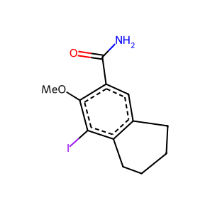 COc1c(C(N)=O)cc2c(c1I)CCCC2